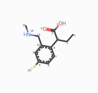 CCC(C(=O)O)c1ccc(F)cc1CNC